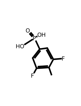 Cc1c(F)cc(P(=O)(O)O)cc1F